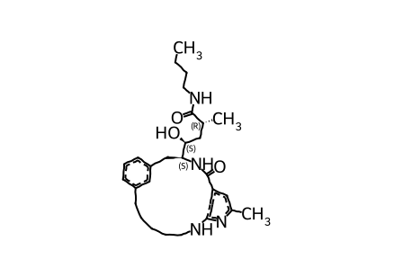 CCCCNC(=O)[C@H](C)C[C@H](O)[C@@H]1Cc2cccc(c2)CCCCCNc2cc(cc(C)n2)C(=O)N1